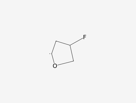 FC1C[CH]OC1